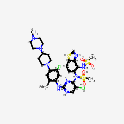 COc1cc(N2CCC(N3CCN(C)CC3)CC2)c(Cl)cc1Nc1ncc(Cl)c(N(c2ccc3scnc3c2NS(C)(=O)=O)S(C)(=O)=O)n1